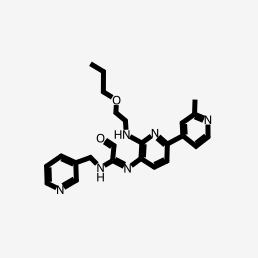 CCCOCCNc1nc(-c2ccnc(C)c2)ccc1/N=C(\C=O)NCc1cccnc1